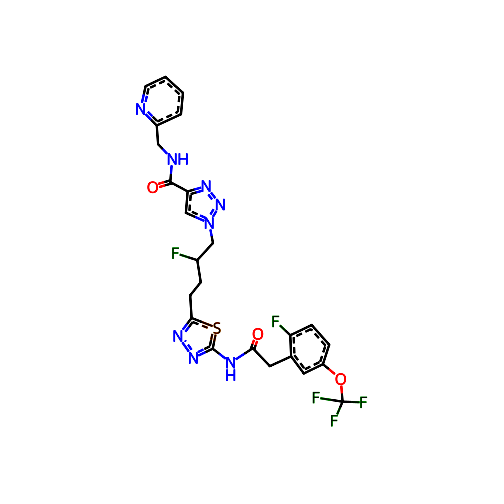 O=C(Cc1cc(OC(F)(F)F)ccc1F)Nc1nnc(CCC(F)Cn2cc(C(=O)NCc3ccccn3)nn2)s1